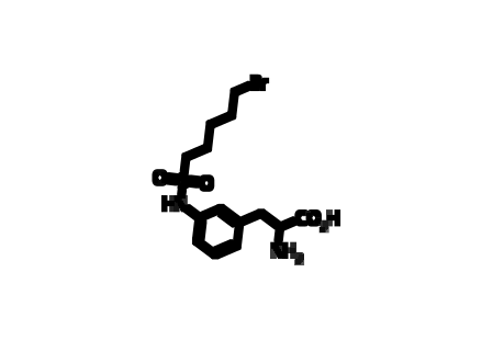 NC(Cc1cccc(NS(=O)(=O)CCCCCBr)c1)C(=O)O